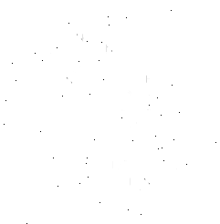 Cc1nc2c(-c3ccc(OCC(C)CC(C)N)c(C(F)(F)F)c3)ncnc2s1